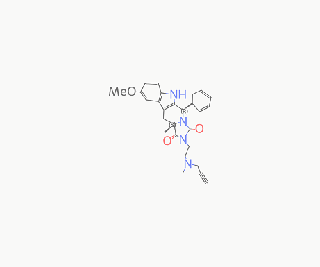 C#CCN(C)CCN1C(=O)N2[C@H](C3C=CC=CC3)c3[nH]c4ccc(OC)cc4c3C[C@@]2(C)C1=O